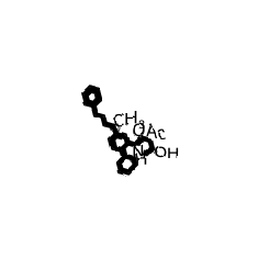 CC(=O)OC1=C2C3C=C([C@@H](C)CCCc4ccccc4)C=CC3=C3CCCC[C@@H]3N2C[C@H](O)C1